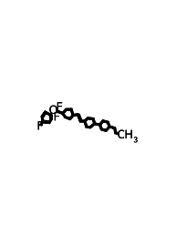 CCCC1CCC(C2CCC(/C=C/C3CCC(C(F)(F)Oc4ccc(F)cc4)CC3)CC2)CC1